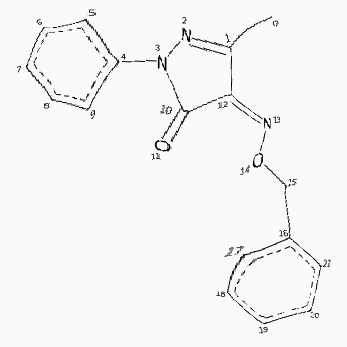 CC1=NN(c2ccccc2)C(=O)C1=NOCc1ccccc1